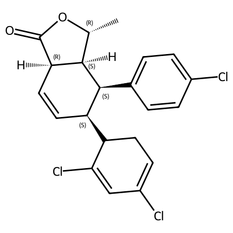 C[C@H]1OC(=O)[C@@H]2C=C[C@H](C3CC=C(Cl)C=C3Cl)[C@H](c3ccc(Cl)cc3)[C@H]12